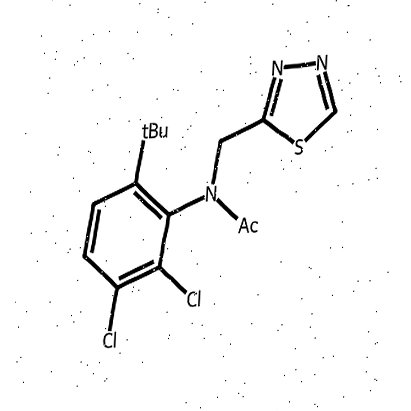 CC(=O)N(Cc1nncs1)c1c(C(C)(C)C)ccc(Cl)c1Cl